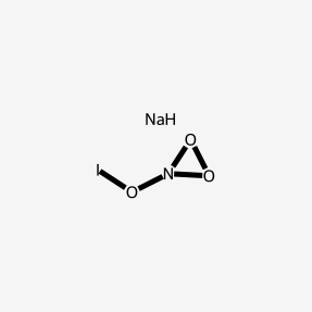 IOn1oo1.[NaH]